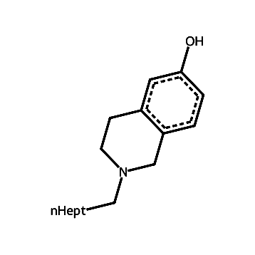 CCCCCCCCN1CCc2cc(O)ccc2C1